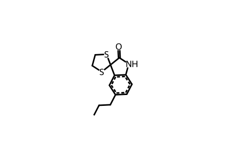 CCCc1ccc2c(c1)C1(SCCS1)C(=O)N2